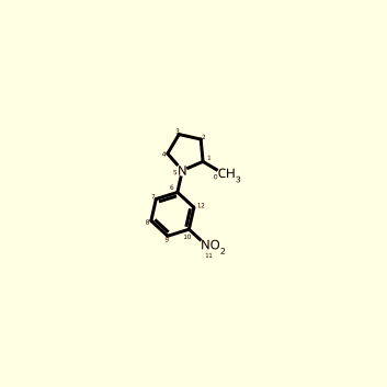 CC1CCCN1c1cccc([N+](=O)[O-])c1